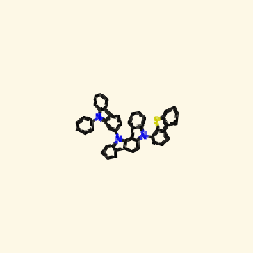 c1ccc(-n2c3ccccc3c3ccc(-n4c5ccccc5c5ccc6c(c7ccccc7n6-c6cccc7c6sc6ccccc67)c54)cc32)cc1